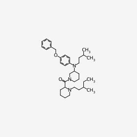 CCC(C)CCN1CCCCC1C(=O)N1CCCC(N(CCC(C)C)c2ccc(OCc3ccccc3)cc2)C1